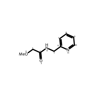 COCC(=O)NCc1ccccn1